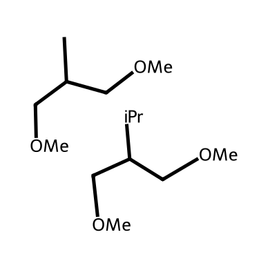 COCC(C)COC.COCC(COC)C(C)C